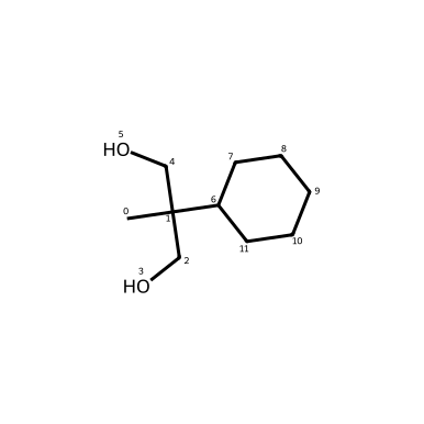 CC(CO)(CO)C1CCCCC1